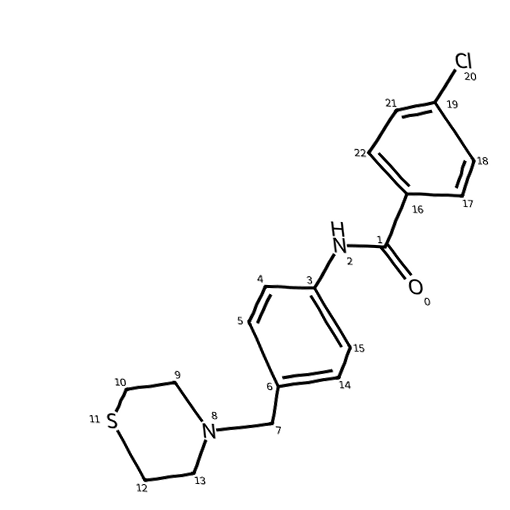 O=C(Nc1ccc(CN2CCSCC2)cc1)c1ccc(Cl)cc1